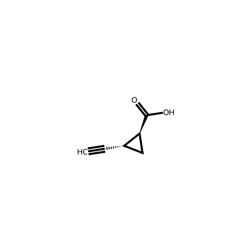 C#C[C@H]1C[C@@H]1C(=O)O